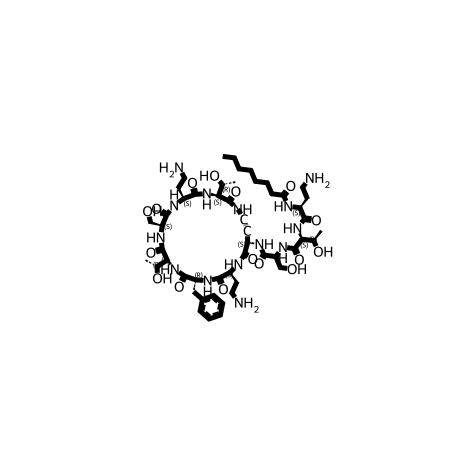 CCCCCCCC(=O)N[C@@H](CCN)C(=O)N[C@H](C(=O)NC(CO)C(=O)N[C@H]1CCNC(=O)[C@H]([C@@H](C)O)NC(=O)[C@H](CCN)NC(=O)[C@H](CO)NC(=O)[C@H]([C@@H](C)O)NC(=O)[C@@H](Cc2ccccc2)NC(=O)[C@H](CCN)NC1=O)[C@@H](C)O